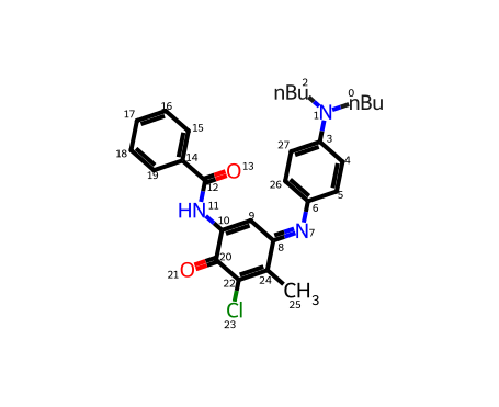 CCCCN(CCCC)c1ccc(N=C2C=C(NC(=O)c3ccccc3)C(=O)C(Cl)=C2C)cc1